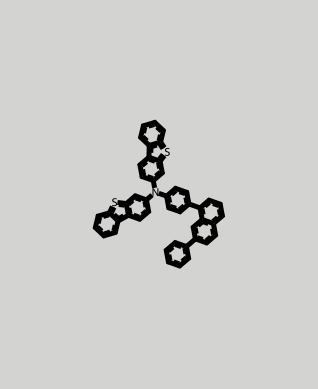 c1ccc(-c2ccc3cccc(-c4ccc(N(c5ccc6c(c5)sc5ccccc56)c5ccc6c(c5)sc5ccccc56)cc4)c3c2)cc1